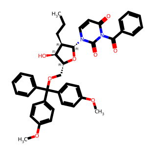 CCC[C@@H]1[C@H](O)[C@@H](COC(c2ccccc2)(c2ccc(OC)cc2)c2ccc(OC)cc2)O[C@H]1n1ccc(=O)n(C(=O)c2ccccc2)c1=O